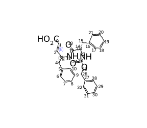 O=C(O)/C=C/[C@H](Cc1ccccc1)NC(=O)[C@H](Cc1ccccc1)NC(=O)OCc1ccccc1